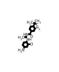 C=C(NC(=O)c1ccc(C(C)(C)C)cc1)Nc1ccc(N)cc1Cl